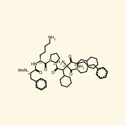 CN[C@@H](Cc1ccccc1)C(=O)N[C@@H](CCCCN)C(=O)N1CCC[C@H]1C(=O)C(C1CCCCC1)[C@](N)(C(=O)[C@H](N)CC1CCCCC1)C(=O)N1CCN(Cc2ccccc2)CC1